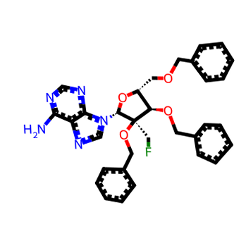 Nc1ncnc2c1ncn2[C@@H]1O[C@H](COCc2ccccc2)[C@@H](OCc2ccccc2)[C@@]1(CF)OCc1ccccc1